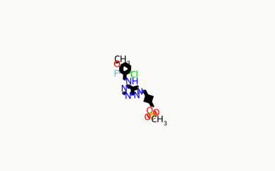 COc1ccc(Cl)c(CNc2ncnc3nn(CC45CC(COS(C)(=O)=O)(C4)C5)cc23)c1F